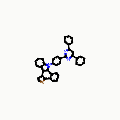 c1ccc(-c2cc(-c3ccccc3)nc(-c3ccc(-n4c5ccccc5c5c6ccsc6c6ccccc6c54)cc3)n2)cc1